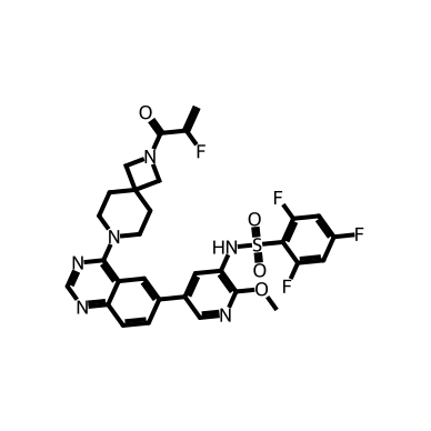 C=C(F)C(=O)N1CC2(CCN(c3ncnc4ccc(-c5cnc(OC)c(NS(=O)(=O)c6c(F)cc(F)cc6F)c5)cc34)CC2)C1